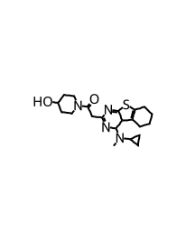 CN(C1CC1)C1N=C(CC(=O)N2CCC(O)CC2)N=C2SC3=C(CCCC3)C21